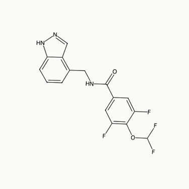 O=C(NCc1cccc2[nH]ncc12)c1cc(F)c(OC(F)F)c(F)c1